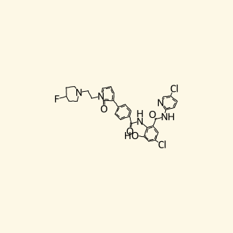 O=C(Nc1c(O)cc(Cl)cc1C(=O)Nc1ccc(Cl)cn1)c1ccc(-c2cccn(CCN3CCC(F)CC3)c2=O)cc1